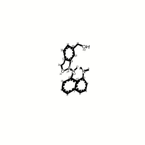 CN(C)c1cccc2cccc(N(C)B3OCc4ccc(CO)cc43)c12